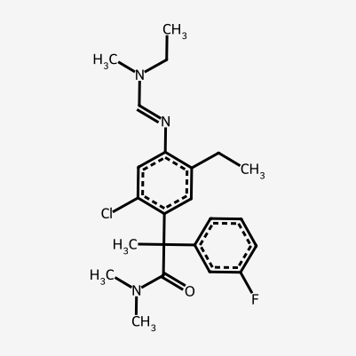 CCc1cc(C(C)(C(=O)N(C)C)c2cccc(F)c2)c(Cl)cc1N=CN(C)CC